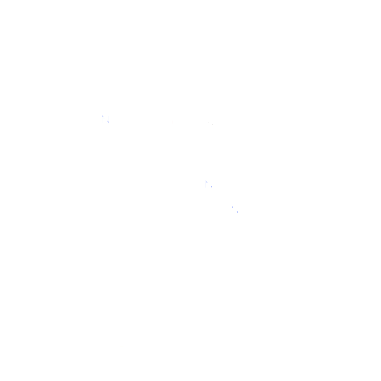 O=C(Oc1cccc2cccnc12)c1nn(CCCCCF)c2ccccc12